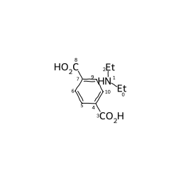 CCNCC.O=C(O)c1ccc(C(=O)O)cc1